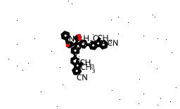 CC1(C)C2=CC(c3ccc4c(c3)-c3cc(-c5ccc6c(c5)C(C)(C)c5cc(C#N)ccc5-6)ccc3C43c4ccccc4-n4c5ccccc5c5cccc3c54)=CCC2c2ccc(C#N)cc21